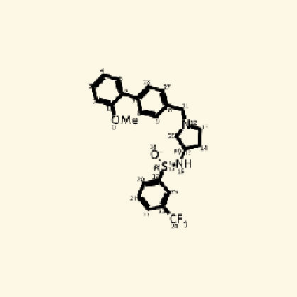 COc1ccccc1-c1ccc(CN2CC[C@@H](N[S@@+]([O-])c3cccc(C(F)(F)F)c3)C2)cc1